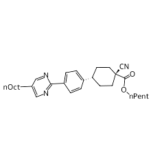 CCCCCCCCc1cnc(-c2ccc([C@H]3CC[C@@](C#N)(C(=O)OCCCCC)CC3)cc2)nc1